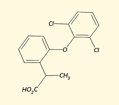 CC(C(=O)O)c1ccccc1Oc1c(Cl)cccc1Cl